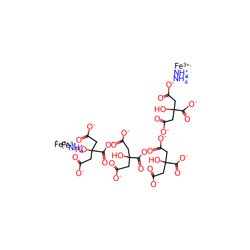 O=C([O-])CC(O)(CC(=O)[O-])C(=O)[O-].O=C([O-])CC(O)(CC(=O)[O-])C(=O)[O-].O=C([O-])CC(O)(CC(=O)[O-])C(=O)[O-].O=C([O-])CC(O)(CC(=O)[O-])C(=O)[O-].[Fe+3].[Fe+3].[Fe+3].[NH4+].[NH4+].[NH4+]